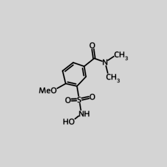 COc1ccc(C(=O)N(C)C)cc1S(=O)(=O)NO